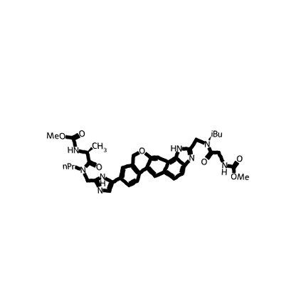 CCCN(Cc1ncc(-c2ccc3c(c2)COc2cc4c(ccc5nc(CN(C(=O)CNC(=O)OC)[C@@H](C)CC)[nH]c54)cc2-3)[nH]1)C(=O)[C@H](C)NC(=O)OC